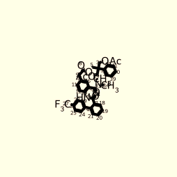 CC(=O)OCC(COC(C)=O)(COC(=O)Cc1ccc(NC(=O)c2ccccc2-c2ccc(C(F)(F)F)cc2)c(C(=O)N(C)C)c1)c1ccccc1